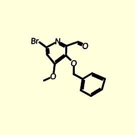 COc1cc(Br)nc(C=O)c1OCc1ccccc1